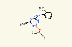 CNc1nc(Nc2ccccc2C(F)(F)F)nc(OC(C(F)(F)F)C(F)(F)F)n1